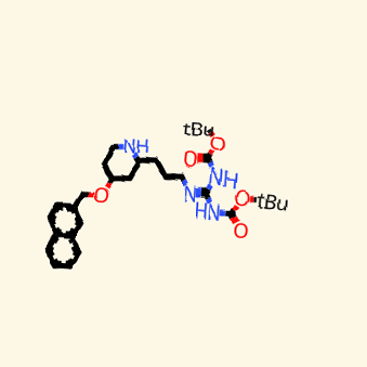 CC(C)(C)OC(=O)NC(=NCCCC1CC(OCc2ccc3ccccc3c2)CCN1)NC(=O)OC(C)(C)C